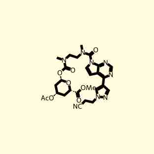 COC(=O)[C@@H]1C[C@H](OC(C)=O)C[C@H](OC(=O)N(C)CCN(C)C(=O)n2ccc3c(-c4cnn(CCC#N)c4)ncnc32)O1